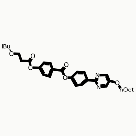 CCCCCCCCOc1cnc(-c2ccc(OC(=O)c3ccc(OC(=O)CCO[C@@H](C)CC)cc3)cc2)nc1